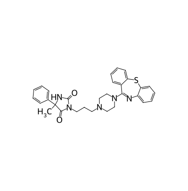 CC1(c2ccccc2)NC(=O)N(CCCN2CCN(C3=Nc4ccccc4Sc4ccccc43)CC2)C1=O